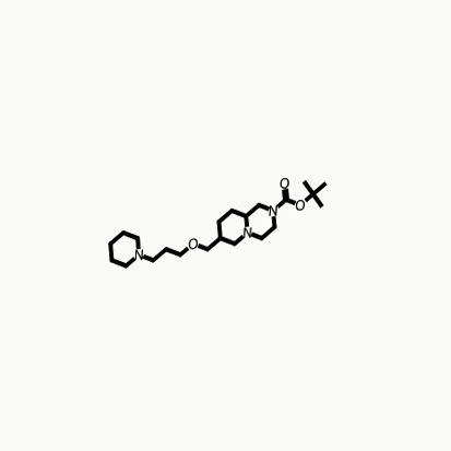 CC(C)(C)OC(=O)N1CCN2CC(COCCCN3CCCCC3)CCC2C1